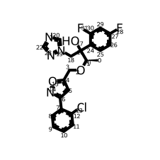 C[C@@H](OCc1cc(-c2ccccc2Cl)no1)C(O)(Cn1cncn1)c1ccc(F)cc1F